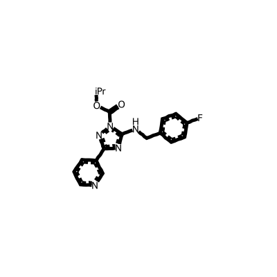 CC(C)OC(=O)n1nc(-c2cccnc2)nc1NCc1ccc(F)cc1